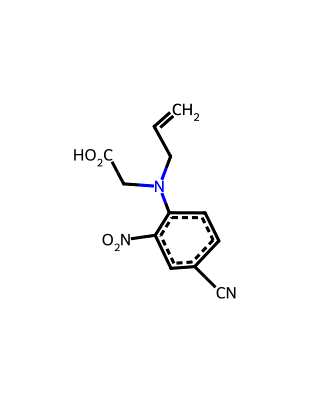 C=CCN(CC(=O)O)c1ccc(C#N)cc1[N+](=O)[O-]